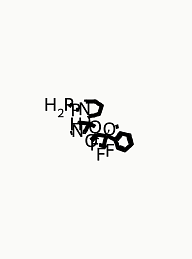 CO[C@](C(=O)OC1([C@@H]2CCCCN2PP)CN(C)C1)(c1ccccc1)C(F)(F)F